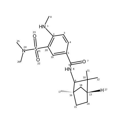 CNc1ccc(C(=O)NC2C(C)(C)[C@@H]3CC[C@]2(C)C3)cc1S(=O)(=O)N(C)C